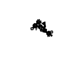 Cn1ncc(-c2cnn(C(CC3CC3)c3ccc(-c4c(-n5cnnn5)ccc(Cl)c4F)c[n+]3O)c2)cc1=O